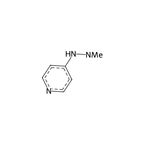 CNNc1ccncc1